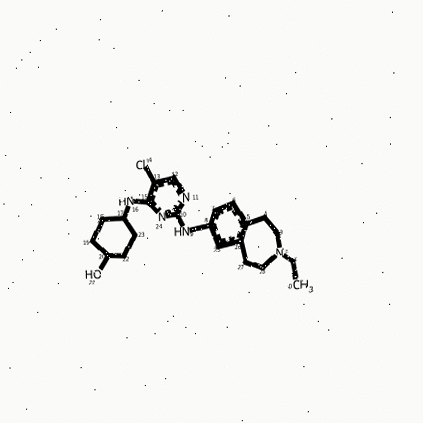 CCN1CCc2ccc(Nc3ncc(Cl)c(NC4CCC(O)CC4)n3)cc2CC1